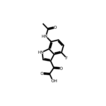 CC(=O)Nc1ccc(F)c2c(C(=O)C(=O)O)c[nH]c12